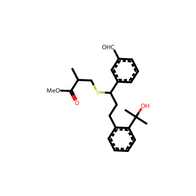 COC(=O)C(C)CSC(CCc1ccccc1C(C)(C)O)c1cccc(C=O)c1